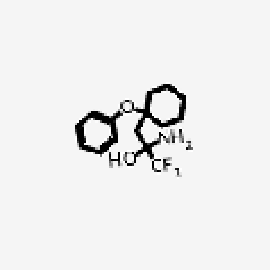 NC(O)(CC1(Oc2ccccc2)CCCCC1)C(F)(F)F